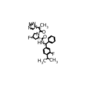 CC(C)c1ccc([C@@H](NC(=O)[C@@H]2C[C@@H](F)CN2C(=O)[C@H](C)n2cnnn2)c2ccccc2)cc1F